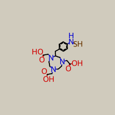 O=C(O)CN1CCN(CC(=O)O)CC(Cc2ccc(NS)cc2)N(CC(=O)O)CC1